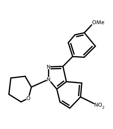 COc1ccc(-c2nn(C3CCCCO3)c3ccc([N+](=O)[O-])cc23)cc1